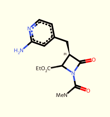 CCOC(=O)C1[C@@H](Cc2ccnc(N)c2)C(=O)N1C(=O)NC